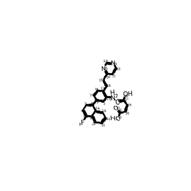 Nc1cc(-c2ccc(F)c3ccccc23)ccc1C=Cc1ccncn1.O=C(O)/C=C\C(=O)O